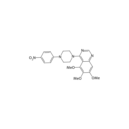 COc1cc2ncnc(N3CCN(c4ccc([N+](=O)[O-])cc4)CC3)c2c(OC)c1OC